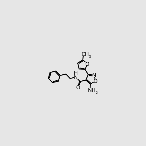 Cc1ccc(-c2noc(N)c2C(=O)NCCc2ccccc2)o1